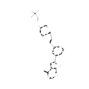 CC(C)(O)COc1ccc(C=Cc2cc(-c3cc4c(=O)[nH]cnc4[nH]3)ccn2)cc1